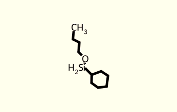 CCCCO[SiH2]C1CCCCC1